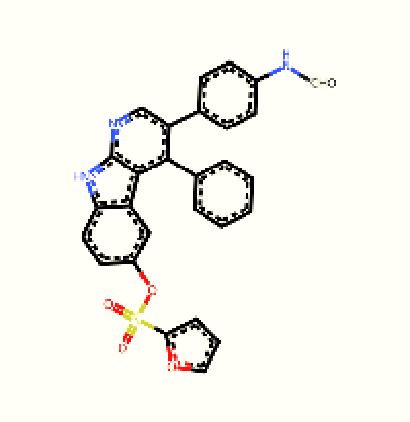 O=CNc1ccc(-c2cnc3[nH]c4ccc(OS(=O)(=O)c5ccco5)cc4c3c2-c2ccccc2)cc1